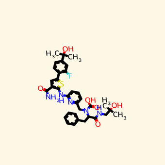 CC(C)(O)CNC(=O)C(Cc1ccccc1)N(Cc1cccc(Nc2sc(-c3ccc(C(C)(C)O)cc3F)cc2C(N)=O)n1)C(=O)O